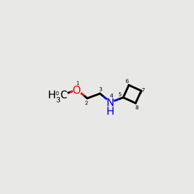 COCCNC1C[CH]C1